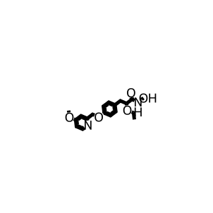 CCOC(Cc1ccc(OCc2cc(OC)ccn2)cc1)C(=O)NO